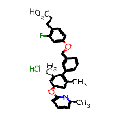 Cc1cccc(Oc2cc(C)c(-c3cccc(COc4ccc(CCC(=O)O)c(F)c4)c3)c(C)c2)n1.Cl